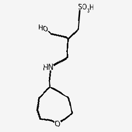 O=S(=O)(O)CC(O)CNC1CCOCC1